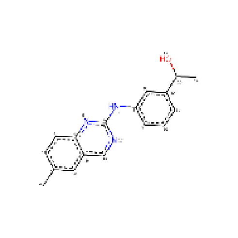 Cc1ccc2nc(Nc3cccc(C(C)O)c3)ncc2c1